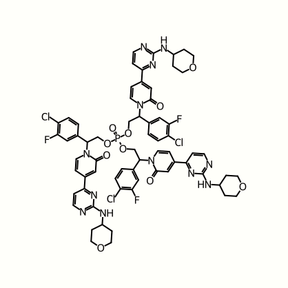 O=c1cc(-c2ccnc(NC3CCOCC3)n2)ccn1C(COP(=O)(OCC(c1ccc(Cl)c(F)c1)n1ccc(-c2ccnc(NC3CCOCC3)n2)cc1=O)OCC(c1ccc(Cl)c(F)c1)n1ccc(-c2ccnc(NC3CCOCC3)n2)cc1=O)c1ccc(Cl)c(F)c1